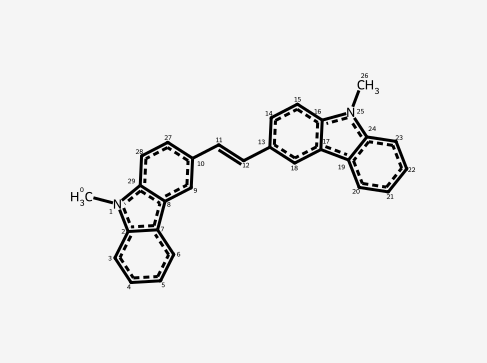 Cn1c2ccccc2c2cc(C=Cc3ccc4c(c3)c3ccccc3n4C)ccc21